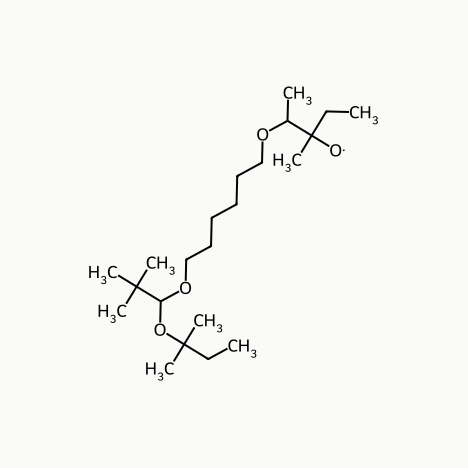 CCC(C)(C)OC(OCCCCCCOC(C)C(C)([O])CC)C(C)(C)C